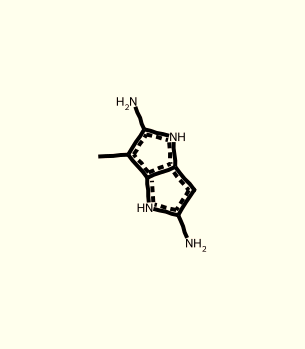 Cc1c(N)[nH]c2cc(N)[nH]c12